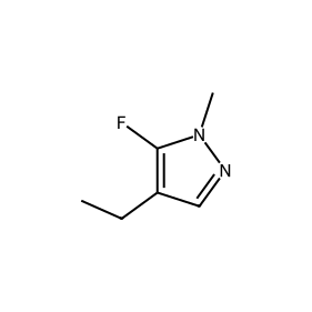 CCc1cnn(C)c1F